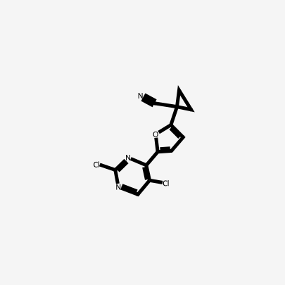 N#CC1(c2ccc(-c3nc(Cl)ncc3Cl)o2)CC1